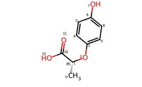 C[C@@H](Oc1ccc(O)cc1)C(=O)O